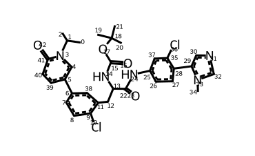 CC(C)n1cc(-c2ccc(Cl)c(CC(NC(=O)OC(C)(C)C)C(=O)Nc3ccc(-c4cncn4C)c(Cl)c3)c2)ccc1=O